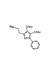 C#CCCc1nn(-c2ccccc2)c(OC)c1OC